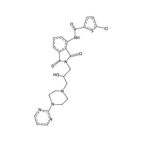 O=C(Nc1cccc2c1C(=O)N(CC(O)CN1CCN(c3ncccn3)CC1)C2=O)c1ccc(Cl)s1